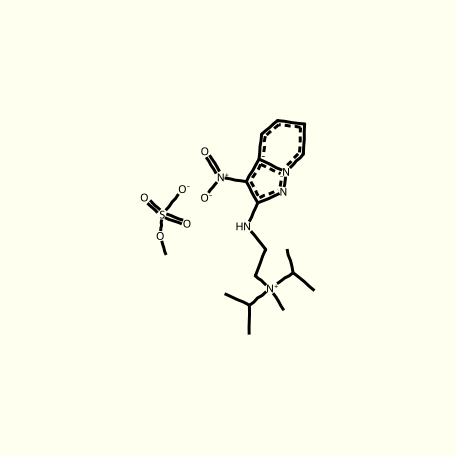 CC(C)[N+](C)(CCNc1nn2ccccc2c1[N+](=O)[O-])C(C)C.COS(=O)(=O)[O-]